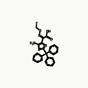 Nc1sc(C(c2ccccc2)(c2ccccc2)c2ccccc2)nc1C(=NOCF)C(=O)O